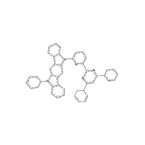 C1=CCC(c2cc(-c3ccccc3)nc(-c3cccc(-n4c5ccccc5c5cc6c(cc54)c4ccccc4n6-c4ccccc4)n3)n2)C=C1